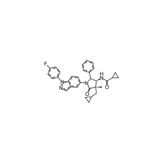 C[C@@]1(CC2CC2)C(=O)N(c2ccc3c(cnn3-c3ccc(F)cc3)c2)C(c2ccccc2)[C@H]1NC(=O)C1CC1